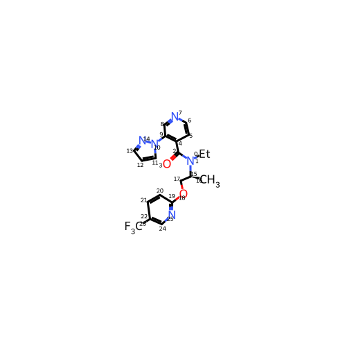 CCN(C(=O)c1ccncc1-n1cccn1)[C@@H](C)COc1ccc(C(F)(F)F)cn1